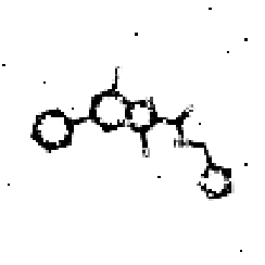 O=C(NCc1cccs1)c1nc2c(Cl)cc(-c3ccccc3)cn2c1Cl